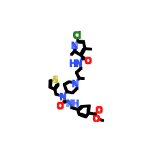 COC(=O)c1ccc(CNC(=O)N(Cc2ccsc2)C2CCN(C(C)CCNC(=O)c3c(C)cc(Cl)nc3C)CC2)cc1